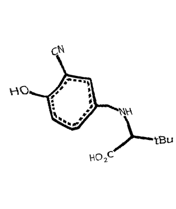 CC(C)(C)C(Nc1ccc(O)c(C#N)c1)C(=O)O